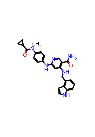 CN(C(=O)C1CC1)c1ccc(Nc2cc(NCc3cccc4[nH]ccc34)c(C(N)=O)cn2)cc1